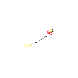 O=C(CCCCCCCCCCCCCCCS)Oc1cccs1